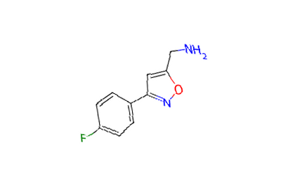 NCc1cc(-c2ccc(F)cc2)no1